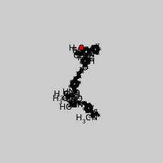 Cc1ncsc1-c1ccc(CNC(=O)[C@@H]2C[C@@H](O)CN2C(=O)[C@@H](NC(=O)c2ccc(CCCCCOc3cc(F)c([C@@H]4c5[nH]c6ccccc6c5C[C@@H](C)N4CC(C)(C)F)c(F)c3)cc2)C(C)(C)C)cc1